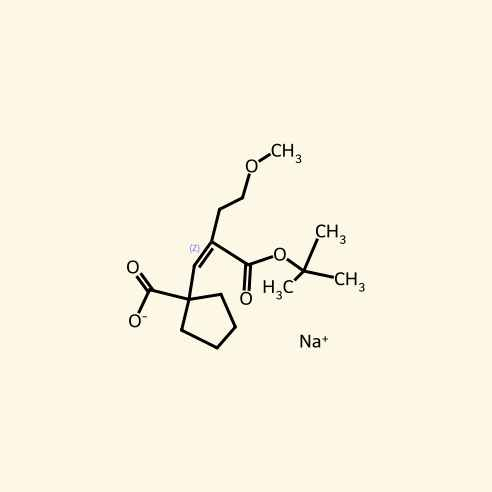 COCC/C(=C/C1(C(=O)[O-])CCCC1)C(=O)OC(C)(C)C.[Na+]